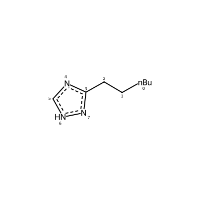 CCCCCCc1nc[nH]n1